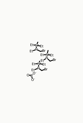 CCN(CBr)[N+](C)(CC)CC.CCN(CBr)[N+](C)(CC)CC.CCN(CBr)[N+](C)(CC)CC.[O-]B([O-])[O-]